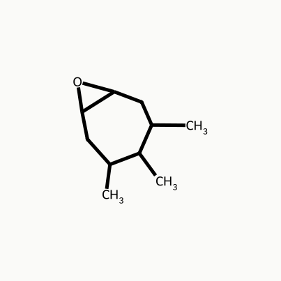 CC1CC2OC2CC(C)C1C